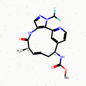 C[C@@H]1/C=C/C[C@H](NC(=O)OC(C)(C)C)c2ccnc(c2)-c2c(cnn2C(F)F)NC1=O